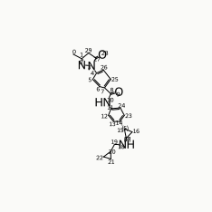 CC1=NN(c2ccc(C(=O)Nc3ccc([C@@H]4C[C@H]4NCC4CC4)cc3)cc2)C(=O)C1